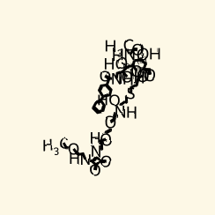 CCOCCNc1c(NCCOCCOCCNC(O)CCSCCCO[C@]2(C=O)C[C@H](O)C(NC(C)=O)C([C@H](O)C(O)CNC(=O)c3ccc(-c4ccccc4)cc3)O2)c(=O)c1=O